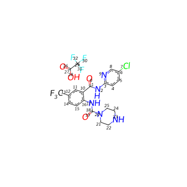 O=C(Nc1ccc(Cl)cn1)c1cc(C(F)(F)F)ccc1NC(=O)N1CCNCC1.O=C(O)C(F)(F)F